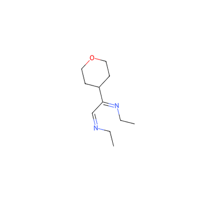 CC/N=C\C(=N/CC)C1CCOCC1